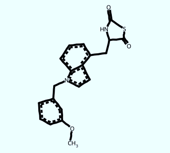 COc1cccc(Cn2ccc3c(CC4NC(=O)SC4=O)cccc32)c1